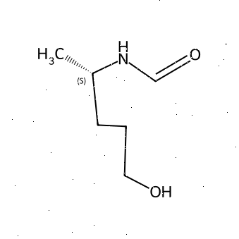 C[C@@H](CCCO)NC=O